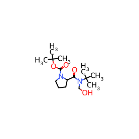 CC(C)(C)OC(=O)N1CCCC1C(=O)N(CO)C(C)(C)C